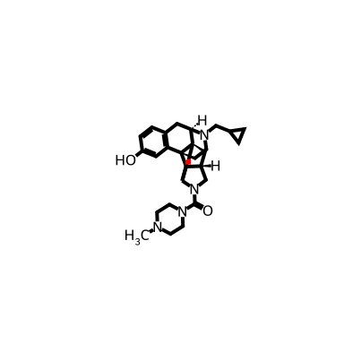 CN1CCN(C(=O)N2C[C@H]3C[C@@]45CCC2C3[C@@]42CCN(CC3CC3)[C@@H]5Cc3ccc(O)cc32)CC1